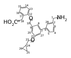 NCc1cccc(-c2cc(COc3ccccc3CC(=O)O)cc(OCC3CC3)c2)c1